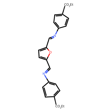 CCOC(=O)c1ccc(N=Cc2ccc(C=Nc3ccc(C(=O)OCC)cc3)o2)cc1